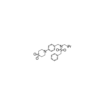 CC(C)CN(Cc1ccc(N2CCS(=O)(=O)CC2)cc1)S(=O)(=O)Cc1ccccc1